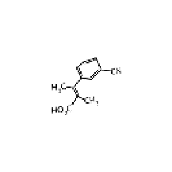 CC(C(=O)O)=C(C)c1cccc(C#N)c1